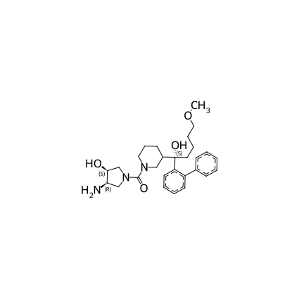 COCCCC[C@@](O)(c1ccccc1-c1ccccc1)C1CCCN(C(=O)N2C[C@@H](N)[C@@H](O)C2)C1